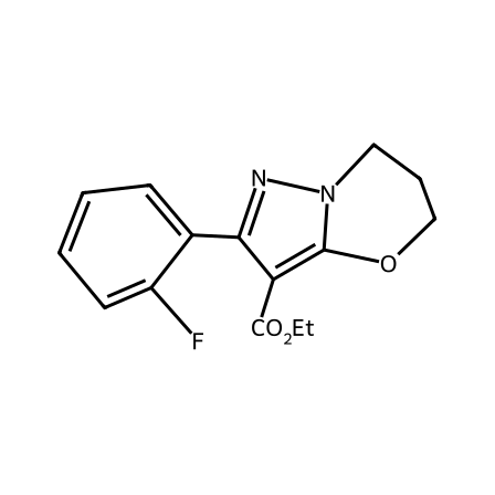 CCOC(=O)c1c(-c2ccccc2F)nn2c1OCCC2